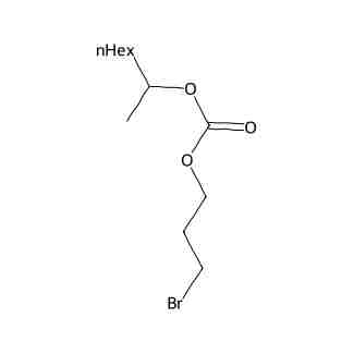 CCCCCCC(C)OC(=O)OCCCBr